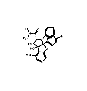 CCN(C)C(=O)[C@H]1[C@@H](O)[C@@]2(O)c3c(OC)cncc3O[C@@]2(c2ccc(Br)cc2)[C@@H]1c1ccccc1